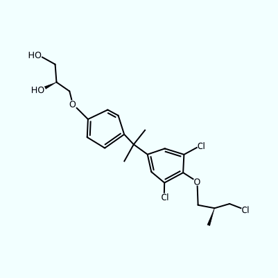 C[C@H](CCl)COc1c(Cl)cc(C(C)(C)c2ccc(OC[C@@H](O)CO)cc2)cc1Cl